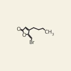 CCCCC1=CC(=O)OC1=CBr